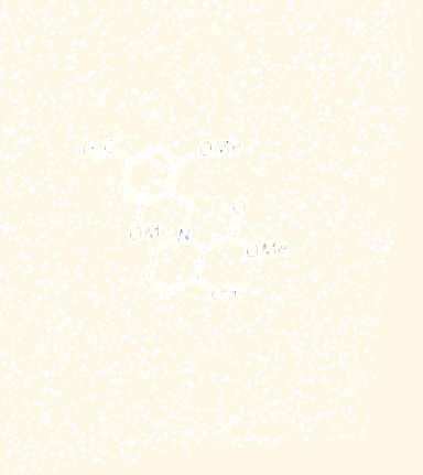 COC(=O)C1C(O)CCCN1Cc1c(OC)cc(C)cc1OC